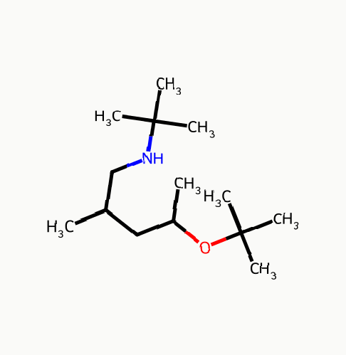 CC(CNC(C)(C)C)CC(C)OC(C)(C)C